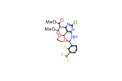 COC(=O)C(C(=O)OC)c1nc(Cl)nc(NC(C)c2cccc(C(F)F)c2F)c1C1OCCO1